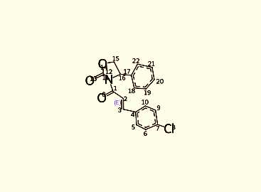 O=C(/C=C/c1ccc(Cl)cc1)N1C(=O)OCC1c1ccccc1